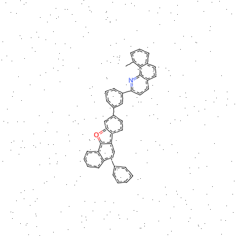 Cc1cccc2ccc3ccc(-c4cccc(-c5ccc6c(c5)oc5c7ccccc7c(-c7ccccc7)cc65)c4)nc3c12